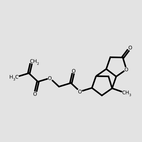 C=C(C)C(=O)OCC(=O)OC1CC2(C)CC1C1CC(=O)OC12